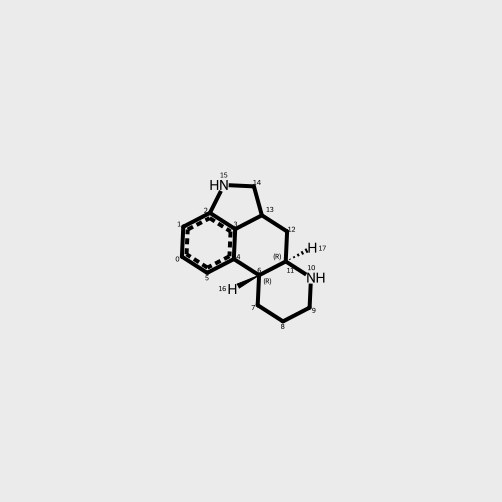 c1cc2c3c(c1)[C@H]1CCCN[C@@H]1CC3CN2